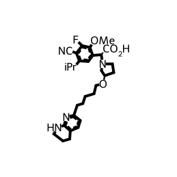 COc1c([C@H](C(=O)O)N2CC[C@@H](OCCCCCc3ccc4c(n3)NCCC4)C2)cc(C(C)C)c(C#N)c1F